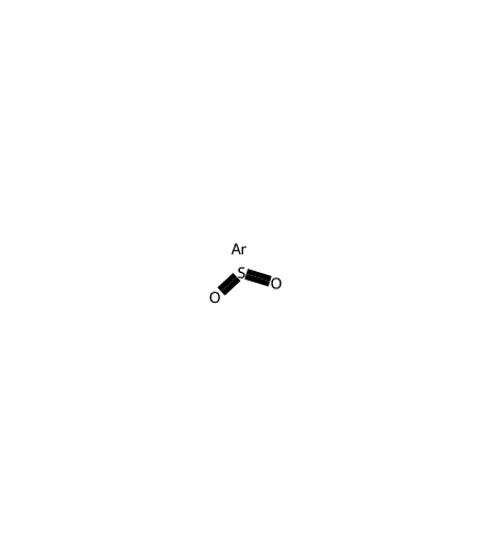 O=S=O.[Ar]